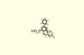 C=C/C=C\c1c(C(=O)O)cc(-c2ccccc2)nc1C